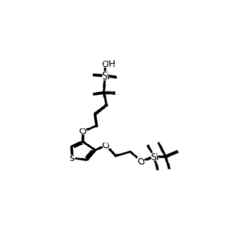 CC(C)(CCCOc1cscc1OCCO[Si](C)(C)C(C)(C)C)[Si](C)(C)O